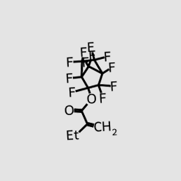 C=C(CC)C(=O)OC1(F)C(F)(F)C2(F)C(F)(F)C(F)(F)C1(F)C2(F)F